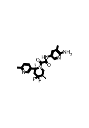 Cc1ccc([C@]2(C)CC(F)(F)[C@H](C)CN2C(=O)C(=O)Nc2cnc(N)c(C)c2)cn1